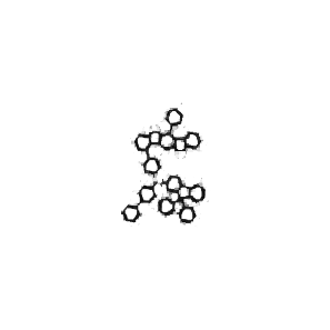 c1ccc(-c2ccc(N(c3ccc(-c4cccc5oc6c(-c7ccccc7)c7c(cc6c45)oc4ccccc47)cc3)c3ccc4c(c3)C(c3ccccc3)(c3ccccc3)c3ccccc3-4)cc2)cc1